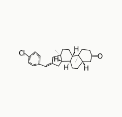 C[C@]12CC[C@H]3[C@@H](CC[C@H]4CC(=O)CC[C@@]43C)[C@@H]1CC(=Cc1ccc(Cl)cc1)C2